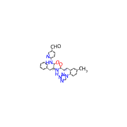 Cc1ccc(-n2cnnn2)c(/C=C/C(=O)N[C@@H](Cc2ccccc2)C(=O)Nc2ccc(C=O)cn2)c1